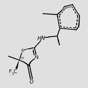 Cc1ccccc1C(C)NC1=NC(=O)[C@@](C)(C(F)(F)F)S1